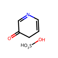 O=C1C=NC=CC1.O=S(=O)(O)O